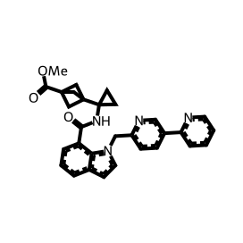 COC(=O)C12CC(C3(NC(=O)c4cccc5ccn(Cc6ccc(-c7ccccn7)cn6)c45)CC3)(C1)C2